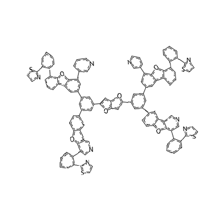 c1cncc(-c2cc(-c3cc(-c4ccc5oc6c(-c7ccccc7-c7nccs7)cncc6c5c4)cc(-c4cc5oc(-c6cc(-c7ccc8oc9c(-c%10ccccc%10-c%10nccs%10)cncc9c8c7)cc(-c7cc(-c8cccnc8)c8oc9c(-c%10ccccc%10-c%10nccs%10)cccc9c8c7)c6)cc5o4)c3)cc3c2oc2c(-c4ccccc4-c4nccs4)cccc23)c1